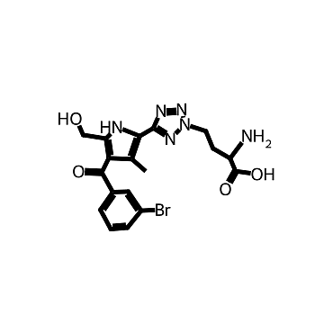 Cc1c(-c2nnn(CCC(N)C(=O)O)n2)[nH]c(CO)c1C(=O)c1cccc(Br)c1